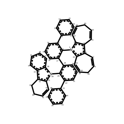 C1=Cc2c3c(n(-c4c(-c5ccccc5)cccc4-c4cccc(-c5ccccc5)c4-n4c5c(c6ccccc64)CCC=C5)c2C=CC1)C=CCC=C3